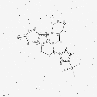 FC(F)(F)c1nnc(N2CCc3c([nH]c4ccc(Br)cc34)[C@@H]2C[C@H]2CCCOC2)o1